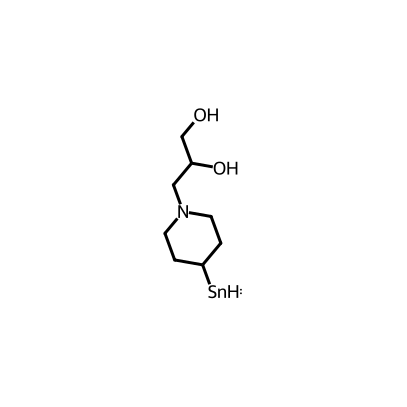 OCC(O)CN1CC[CH]([SnH])CC1